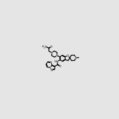 CN1CCC2(CC1)Cc1cc(NC(=O)c3cnn4cccnc34)c(N3CCN(CC(N)=O)CC3)cc1O2